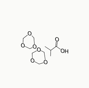 C1OCOCO1.C1OCOCO1.CC(C)C(=O)O